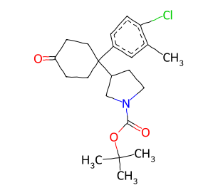 Cc1cc(C2(C3CCN(C(=O)OC(C)(C)C)C3)CCC(=O)CC2)ccc1Cl